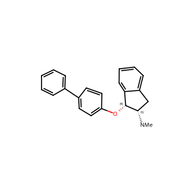 CN[C@H]1Cc2ccccc2[C@H]1Oc1ccc(-c2ccccc2)cc1